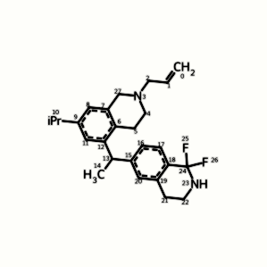 C=CCN1CCc2c(cc(C(C)C)cc2C(C)c2ccc3c(c2)CCNC3(F)F)C1